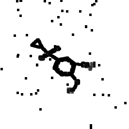 CC(C)Oc1ccc(S(=O)(=O)C2CC2)cc1C(=O)O